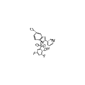 O=S(=O)(c1cc(F)cc(F)c1O)n1c(-c2cccnc2)cc2cc(Cl)ccc21